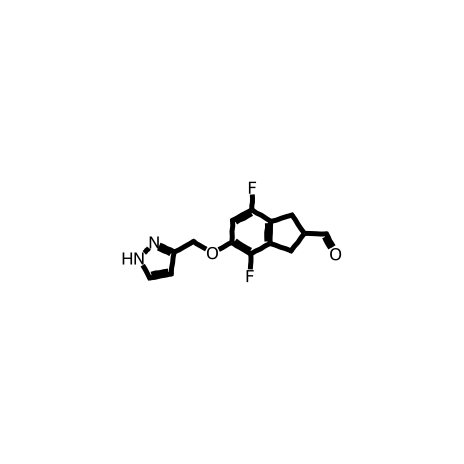 O=CC1Cc2c(F)cc(OCc3cc[nH]n3)c(F)c2C1